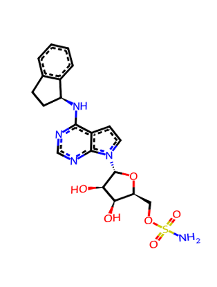 NS(=O)(=O)OC[C@@H]1O[C@@H](n2ccc3c(N[C@H]4CCc5ccccc54)ncnc32)[C@H](O)[C@@H]1O